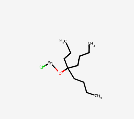 CCCCC(CCC)(CCCC)[O][Sn][Cl]